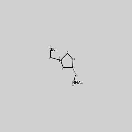 CC(=O)NC[C@H]1CCN(CC(C)(C)C)C1